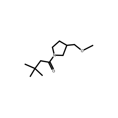 COCC1CCN(C(=O)CC(C)(C)C)C1